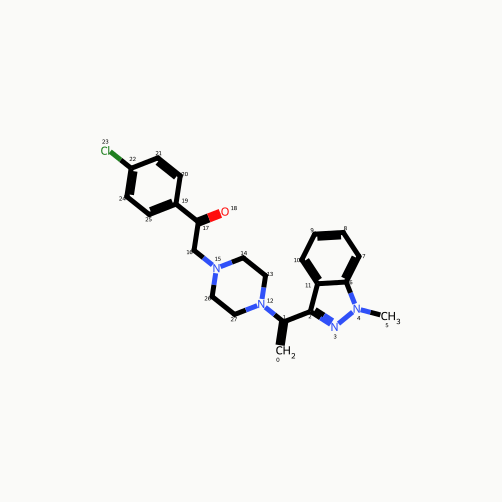 C=C(c1nn(C)c2ccccc12)N1CCN(CC(=O)c2ccc(Cl)cc2)CC1